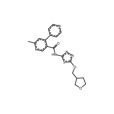 Cc1cc(-c2ccncc2)c(C(=O)Nc2nnc(OCC3CCOC3)s2)cn1